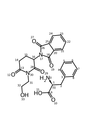 N[C@@H](Cc1ccccc1)C(=O)O.O=C1CCC(N2C(=O)c3ccccc3C2=O)C(=O)N1CCO